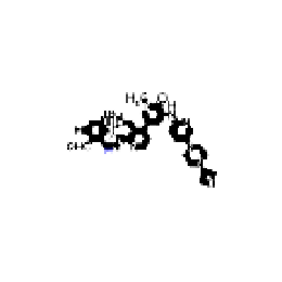 CN(/N=C\c1cc(C(C)(C)C)cc(F)c1C=O)c1nccc(-c2cc(Nc3ccc(N4CCN(C5COC5)CC4)cn3)c(=O)n(C)c2)c1CO